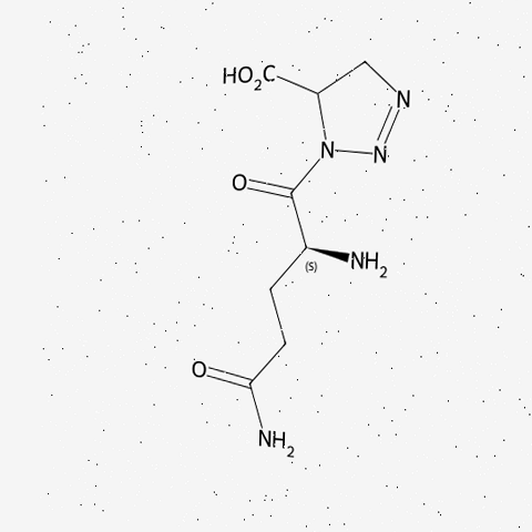 NC(=O)CC[C@H](N)C(=O)N1N=NCC1C(=O)O